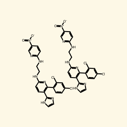 O=[N+]([O-])c1ccc(NCCNc2ccc(-c3ncc[nH]3)c(-c3ccc(Cl)cc3Cl)n2)nc1.O=[N+]([O-])c1ccc(NCCNc2ccc(-c3ncc[nH]3)c(-c3ccc(Cl)cc3Cl)n2)nc1